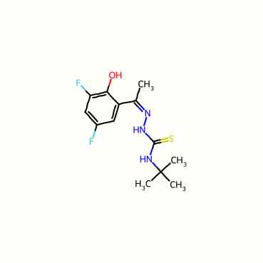 C/C(=N/NC(=S)NC(C)(C)C)c1cc(F)cc(F)c1O